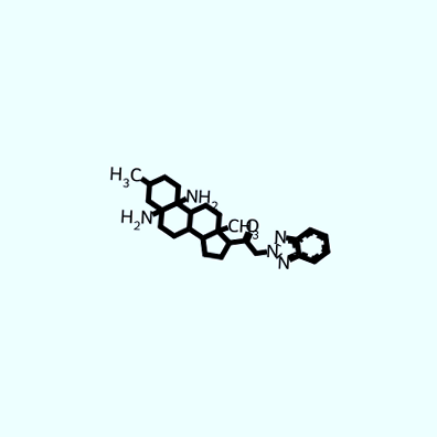 CC1CCC2(N)C3CCC4(C)C(C(=O)Cn5nc6ccccc6n5)CCC4C3CCC2(N)C1